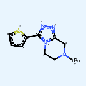 CC(C)(C)N1CCn2c(nnc2-c2cccs2)C1